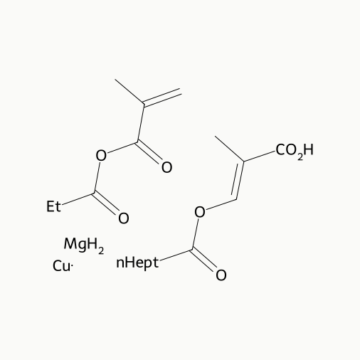 C=C(C)C(=O)OC(=O)CC.CCCCCCCC(=O)OC=C(C)C(=O)O.[Cu].[MgH2]